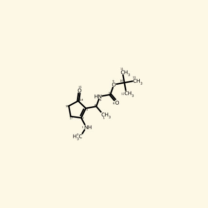 CNC1=C(C(C)NC(=O)OC(C)(C)C)C(=O)CC1